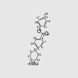 CCCCC1CCC(c2ccc(C(=O)Oc3ccc(C)cc3)cc2)CC1